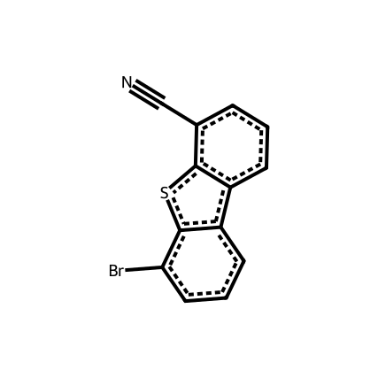 N#Cc1cccc2c1sc1c(Br)cccc12